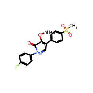 CCCCCCOc1c(-c2ccc(S(C)(=O)=O)cc2)cnn(-c2ccc(F)cc2)c1=O